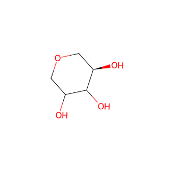 OC1COC[C@@H](O)C1O